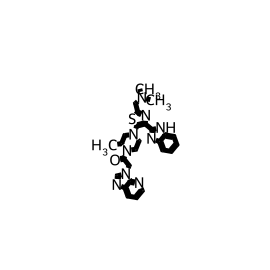 CC1CN(c2sc(CN(C)C)nc2-c2nc3ccccc3[nH]2)CCN1C(=O)Cn1cnc2cccnc21